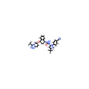 CC(C)c1nnc2ccc(O[C@H]3CC[C@H](NC(=O)Nc4cc(C(C)(C)C)nn4-c4ccc(C#N)cc4)c4ccccc43)cn12